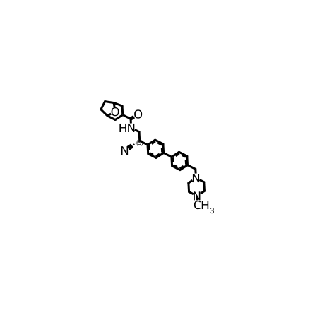 CN1CCN(Cc2ccc(-c3ccc([C@H](C#N)CNC(=O)C4CC5CCC(C4)O5)cc3)cc2)CC1